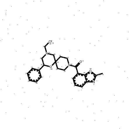 Cc1nc2cccc(C(=O)N3CCC4(CC3)CN(CC(F)(F)F)CC(c3ccccc3)O4)c2o1